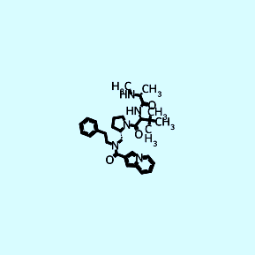 CN[C@@H](C)C(=O)N[C@H](C(=O)N1CCC[C@H]1CN(CCc1ccccc1)C(=O)c1cc2ccccn2c1)C(C)(C)C